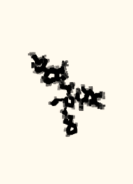 C=C[C@@H]1[C@@H](CN2CC3(CCCC3)C2)C[C@@H](C(=O)Nc2nc(Br)c(F)cc2C)N1C(=O)Cn1nc(C(C)=O)c2cc(-c3cnc(C)nc3)ncc21